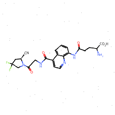 N#C[C@@H]1CC(F)(F)CN1C(=O)CNC(=O)c1ccnc2c(NC(=O)CCC(N)C(=O)O)cccc12